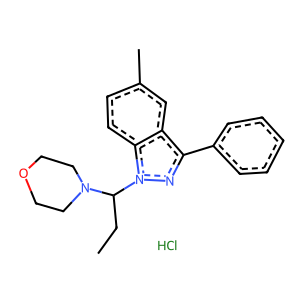 CCC(N1CCOCC1)n1nc(-c2ccccc2)c2cc(C)ccc21.Cl